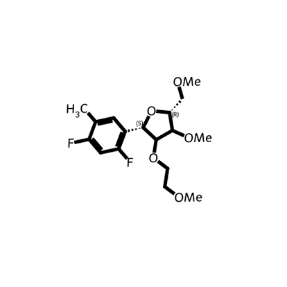 COCCOC1C(OC)[C@@H](COC)O[C@H]1c1cc(C)c(F)cc1F